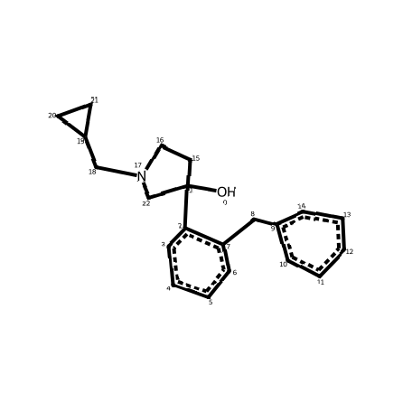 OC1(c2ccccc2Cc2ccccc2)CCN(CC2CC2)C1